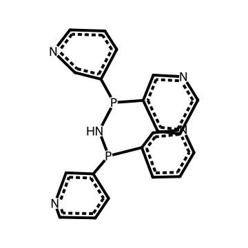 c1cncc(P(NP(c2cccnc2)c2cccnc2)c2cccnc2)c1